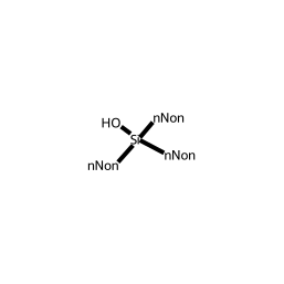 CCCCCCCCC[Si](O)(CCCCCCCCC)CCCCCCCCC